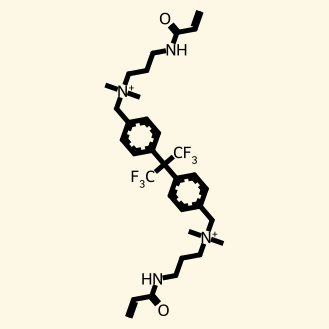 C=CC(=O)NCCC[N+](C)(C)Cc1ccc(C(c2ccc(C[N+](C)(C)CCCNC(=O)C=C)cc2)(C(F)(F)F)C(F)(F)F)cc1